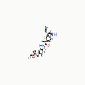 C=C(C(=O)NCc1ccc(CC(=O)OCC)cc1)c1ccc2[nH]cc(CC#N)c2c1